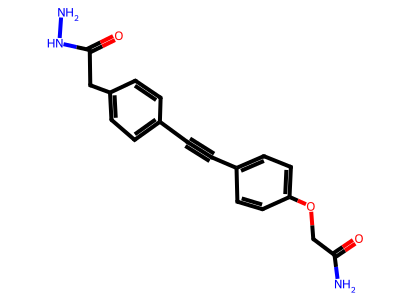 NNC(=O)Cc1ccc(C#Cc2ccc(OCC(N)=O)cc2)cc1